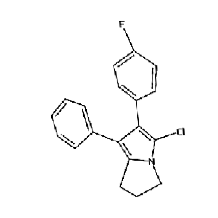 Fc1ccc(-c2c(-c3ccccc3)c3n(c2Cl)CCC3)cc1